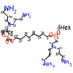 CCCCCCOP(CCN(CCCN)CCCN)OCCCCCCCCOP(=O)(CCN(CCCN)CCCN)OCCCCCC